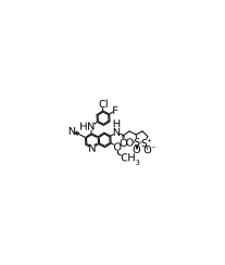 CCOc1cc2ncc(C#N)c(Nc3ccc(F)c(Cl)c3)c2cc1NC(=O)CC1CC[S+]([O-])S1(=O)=O